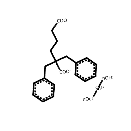 CCCCCCC[CH2][Sn+2][CH2]CCCCCCC.O=C([O-])CCCC(Cc1ccccc1)(Cc1ccccc1)C(=O)[O-]